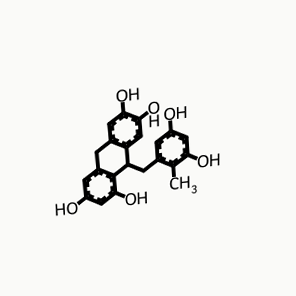 Cc1c(O)cc(O)cc1CC1c2cc(O)c(O)cc2Cc2cc(O)cc(O)c21